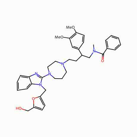 COc1ccc(C(CCN2CCCN(c3nc4ccccc4n3Cc3ccc(CO)o3)CC2)CN(C)C(=O)c2ccccc2)cc1OC